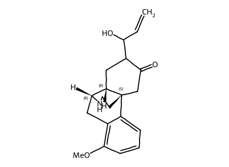 C=CC(O)C1C[C@H]2[C@H]3Cc4c(OC)cccc4[C@@]2(CCN3)CC1=O